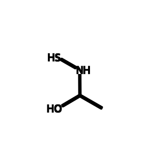 CC(O)NS